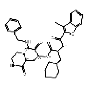 Cc1c(C(=O)NC(CC2CCCCC2)C(=O)N[C@@H](C[C@@H]2CCCNC2=O)C(=O)C(=O)NCc2ccccc2)oc2ccccc12